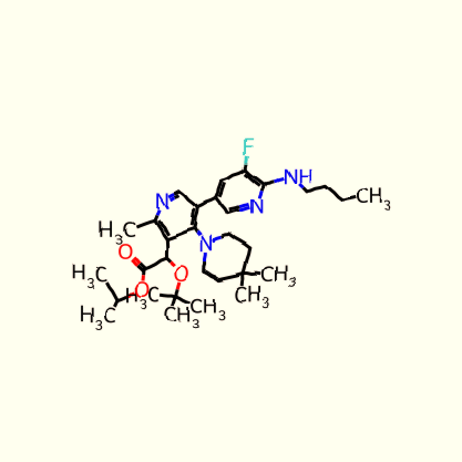 CCCCNc1ncc(-c2cnc(C)c(C(OC(C)(C)C)C(=O)OC(C)C)c2N2CCC(C)(C)CC2)cc1F